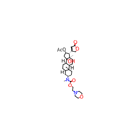 CC(=O)O[C@@H]1C[C@@]2(O)[C@@H]3CC[C@@H]4C[C@H](N(C)C(=O)OCCN5CCOCC5)CC[C@@]4(C)[C@@H]3CC[C@]2(C)[C@H]1C1=CC(=O)OC1